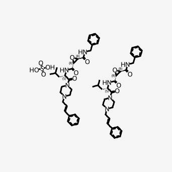 CC(C)C[C@H](NC(=O)[C@@H]1O[C@H]1C(=O)NCc1ccccc1)C(=O)N1CCN(CC=Cc2ccccc2)CC1.CC(C)C[C@H](NC(=O)[C@@H]1O[C@H]1C(=O)NCc1ccccc1)C(=O)N1CCN(CC=Cc2ccccc2)CC1.O=S(=O)(O)O